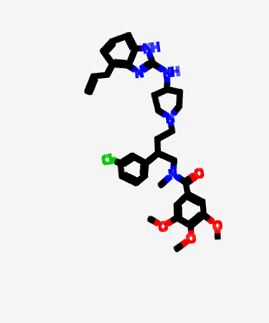 C=CCc1cccc2[nH]c(NC3CCN(CCC(CN(C)C(=O)c4cc(OC)c(OC)c(OC)c4)c4cccc(Cl)c4)CC3)nc12